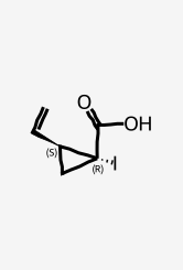 C=C[C@@H]1C[C@]1(I)C(=O)O